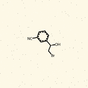 N#Cc1cccc([C@@H](O)CBr)c1